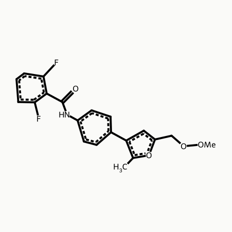 COOCc1cc(-c2ccc(NC(=O)c3c(F)cccc3F)cc2)c(C)o1